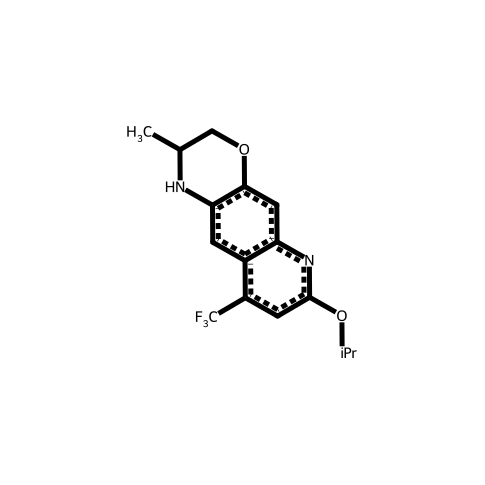 CC1COc2cc3nc(OC(C)C)cc(C(F)(F)F)c3cc2N1